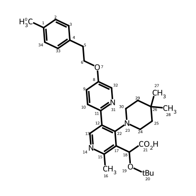 Cc1ccc(CCOc2ccc(-c3cnc(C)c(C(OC(C)(C)C)C(=O)O)c3N3CCC(C)(C)CC3)nc2)cc1